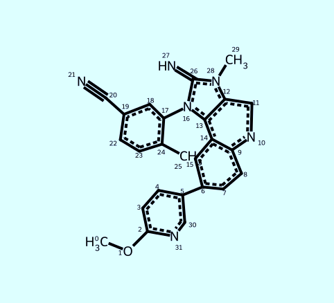 COc1ccc(-c2ccc3ncc4c(c3c2)n(-c2cc(C#N)ccc2C)c(=N)n4C)cn1